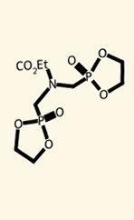 CCOC(=O)N(CP1(=O)OCCO1)CP1(=O)OCCO1